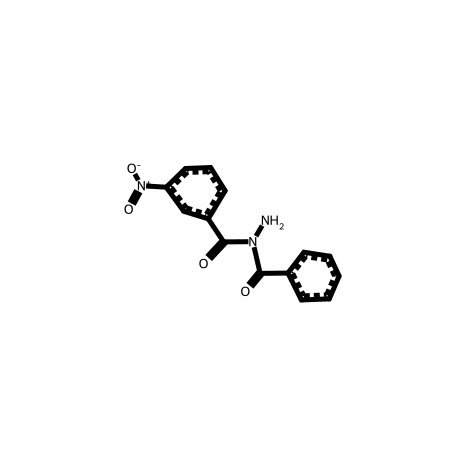 NN(C(=O)c1ccccc1)C(=O)c1cccc([N+](=O)[O-])c1